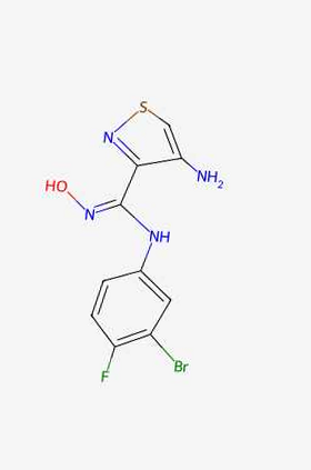 Nc1csnc1/C(=N\O)Nc1ccc(F)c(Br)c1